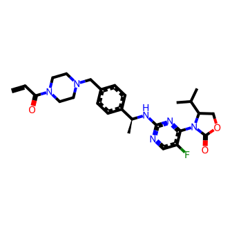 C=CC(=O)N1CCN(Cc2ccc([C@H](C)Nc3ncc(F)c(N4C(=O)OCC4C(C)C)n3)cc2)CC1